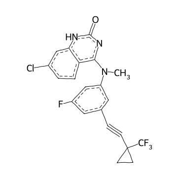 CN(c1cc(F)cc(C#CC2(C(F)(F)F)CC2)c1)c1nc(=O)[nH]c2cc(Cl)ccc12